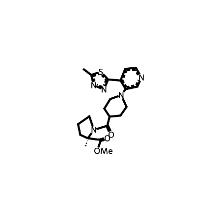 COC(=O)[C@@]1(C)CCCN1C(=O)C1CCN(c2cnccc2-c2nnc(C)s2)CC1